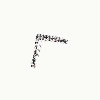 CC[n+]1ccccc1.CC[n+]1ccccc1.CC[n+]1ccccc1.CC[n+]1ccccc1.CC[n+]1ccccc1.CC[n+]1ccccc1.CC[n+]1ccccc1.CC[n+]1ccccc1.CC[n+]1ccccc1.CC[n+]1ccccc1.CC[n+]1ccccc1.CC[n+]1ccccc1.[O-]B([O-])F.[O-]B([O-])F.[O-]B([O-])F.[O-]B([O-])F.[O-]B([O-])F.[O-]B([O-])F